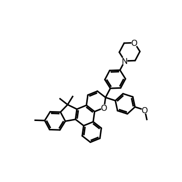 COc1ccc(C2(c3ccc(N4CCOCC4)cc3)C=Cc3c4c(c5ccccc5c3O2)-c2ccc(C)cc2C4(C)C)cc1